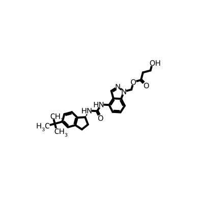 CC(C)(C)c1ccc2c(c1)CC[C@H]2NC(=O)Nc1cccc2c1cnn2COC(=O)CCO